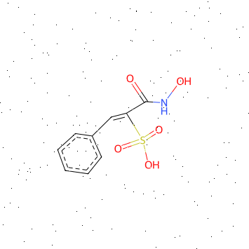 O=C(NO)C(=Cc1ccccc1)S(=O)(=O)O